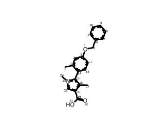 Cc1cc(OCc2ccccc2)ccc1-c1c(C)c(C(=O)O)cn1C